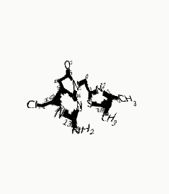 Cc1nc(CN2C(=O)Cc3c(Cl)nc(N)nc32)sc1C